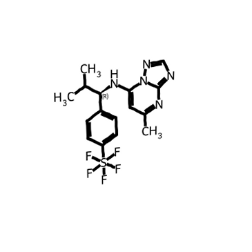 Cc1cc(N[C@@H](c2ccc(S(F)(F)(F)(F)F)cc2)C(C)C)n2ncnc2n1